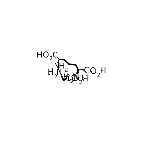 NCC(=O)O.N[C@H](CCC[C@H](N)C(=O)O)C(=O)O